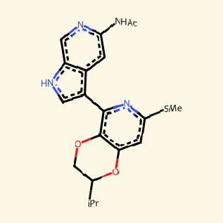 CSc1cc2c(c(-c3c[nH]c4cnc(NC(C)=O)cc34)n1)OCC(C(C)C)O2